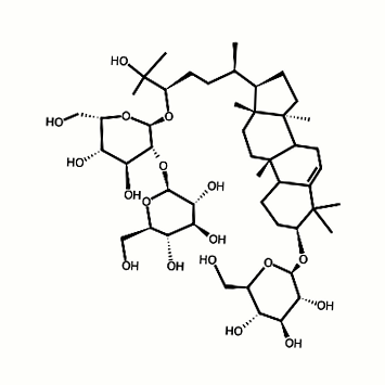 C[C@H](CC[C@@H](O[C@@H]1O[C@@H](CO)[C@@H](O)[C@H](O)[C@H]1O[C@@H]1O[C@H](CO)[C@@H](O)[C@H](O)[C@H]1O)C(C)(C)O)[C@H]1CC[C@@]2(C)C3CC=C4C(CC[C@H](O[C@@H]5O[C@H](CO)[C@@H](O)[C@H](O)[C@H]5O)C4(C)C)[C@]3(C)CC[C@]12C